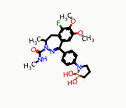 CNC(=O)N1N=C(c2ccc(N3CCCS3(O)O)cc2)c2cc(OC)c(OC)c(F)c2CC1C